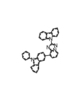 c1ccc(-n2c3ccccc3c3cc(-c4cccn5nc(-n6c7ccccc7c7ccccc76)nc45)ccc32)cc1